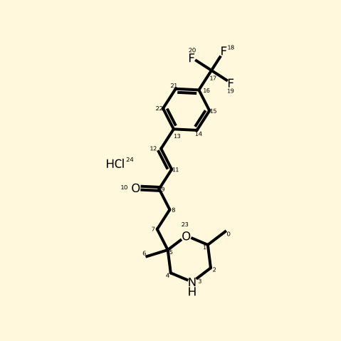 CC1CNCC(C)(CCC(=O)C=Cc2ccc(C(F)(F)F)cc2)O1.Cl